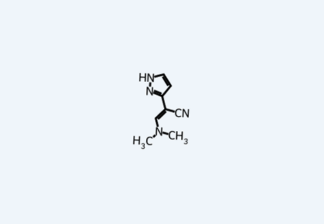 CN(C)/C=C(\C#N)c1cc[nH]n1